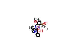 COc1ccc([S+](C)[O-])cc1CN[C@H]1[C@H]2CCN(C(C(=O)O)C2)[C@H]1Cc1ccccc1